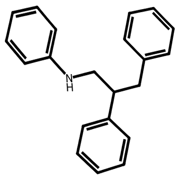 c1ccc(CC(CNc2ccccc2)c2ccccc2)cc1